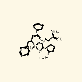 CC(N)CC[C@H](OP(=O)(O)C(CC(=O)c1ccccc1)Cc1ccccc1)C(=O)N1CCC[C@H]1C(=O)O